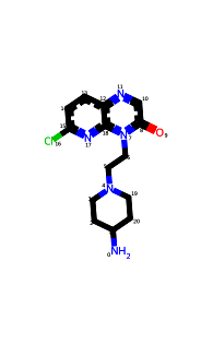 NC1CCN(CCn2c(=O)cnc3ccc(Cl)nc32)CC1